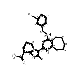 Cc1nc2c(C(N)=O)cccn2c1-c1nc2c(c(NCc3cccc(F)c3)n1)CCCCC2